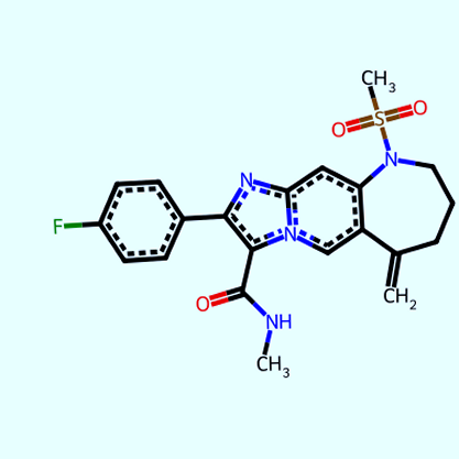 C=C1CCCN(S(C)(=O)=O)c2cc3nc(-c4ccc(F)cc4)c(C(=O)NC)n3cc21